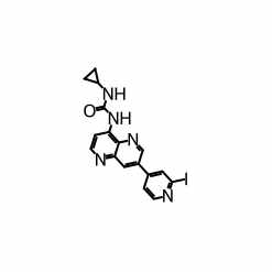 O=C(Nc1ccnc2cc(-c3ccnc(I)c3)cnc12)NC1CC1